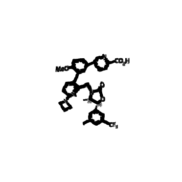 COc1ccc(-c2ccc(C(=O)O)nc2)cc1-c1ccc(N2CCC2)nc1CN1C(=O)O[C@H](c2cc(C)cc(C(F)(F)F)c2)[C@@H]1C